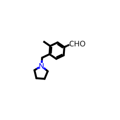 Cc1cc(C=O)ccc1CN1CCCC1